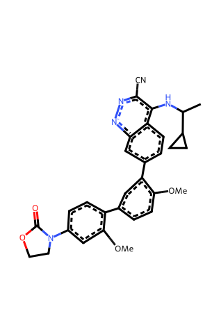 COc1cc(N2CCOC2=O)ccc1-c1ccc(OC)c(-c2ccc3c(NC(C)C4CC4)c(C#N)nnc3c2)c1